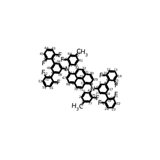 Cc1ccc(N(c2cc(-c3c(F)cccc3F)cc(-c3c(F)cccc3F)c2)c2ccc3ccc4c(N(c5cc(-c6c(F)cccc6F)cc(-c6c(F)cccc6F)c5)c5ccc(C)cc5F)ccc5ccc2c3c54)c(F)c1